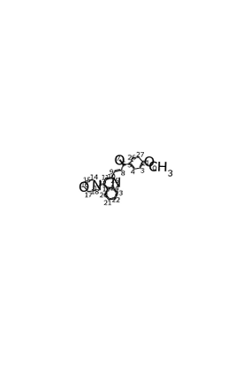 COC1=CC=C(C(=O)C=Cc2cc(N3CCOCC3)c3ccccc3n2)[CH]C1